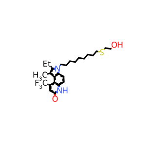 CCc1c(C)c2c3c(C(F)(F)F)cc(=O)[nH]c3ccc2n1CCCCCCCCCSCCO